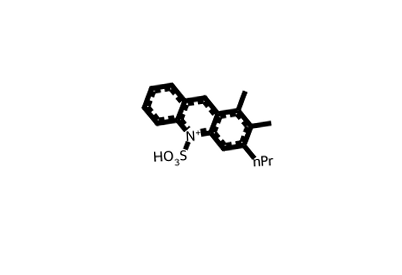 CCCc1cc2c(cc3ccccc3[n+]2S(=O)(=O)O)c(C)c1C